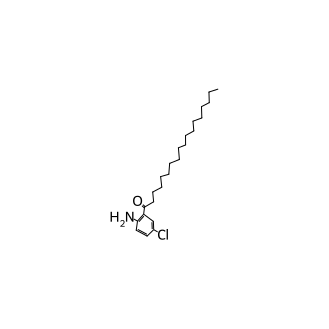 CCCCCCCCCCCCCCCCCC(=O)c1cc(Cl)ccc1N